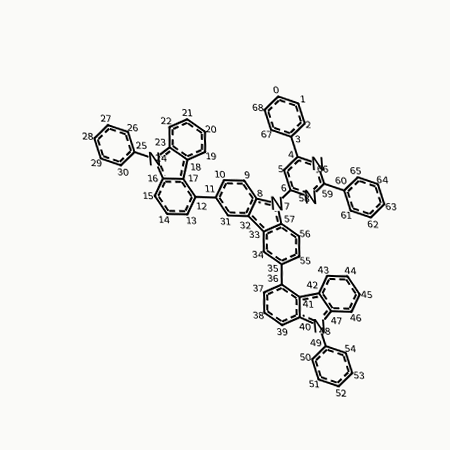 c1ccc(-c2cc(-n3c4ccc(-c5cccc6c5c5ccccc5n6-c5ccccc5)cc4c4cc(-c5cccc6c5c5ccccc5n6-c5ccccc5)ccc43)nc(-c3ccccc3)n2)cc1